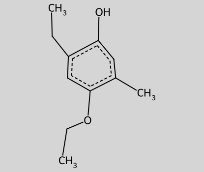 CCOc1cc(CC)c(O)cc1C